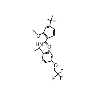 COc1cc(C(C)(C)C)ccc1C(=O)NC(C)c1ccc(OCC(F)(F)F)cn1